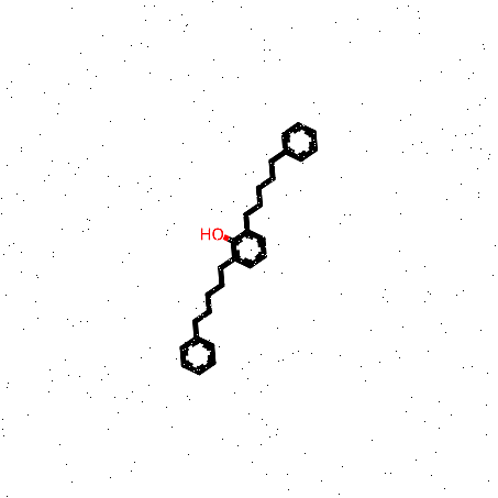 Oc1c(CCCCCc2ccccc2)cccc1CCCCCc1ccccc1